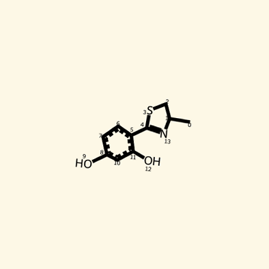 CC1CSC(c2ccc(O)cc2O)=N1